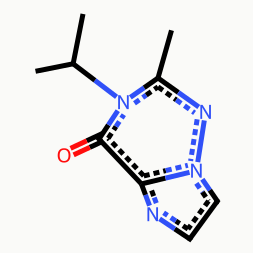 Cc1nn2ccnc2c(=O)n1C(C)C